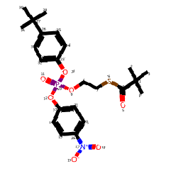 CC(C)(C)C(=O)SCCOP(=O)(Oc1ccc([N+](=O)[O-])cc1)Oc1ccc(C(C)(C)C)cc1